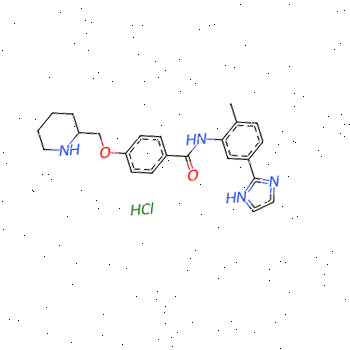 Cc1ccc(-c2ncc[nH]2)cc1NC(=O)c1ccc(OCC2CCCCN2)cc1.Cl